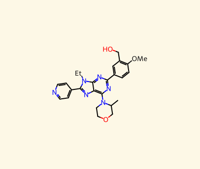 CCn1c(-c2ccncc2)nc2c(N3CCOCC3C)nc(-c3ccc(OC)c(CO)c3)nc21